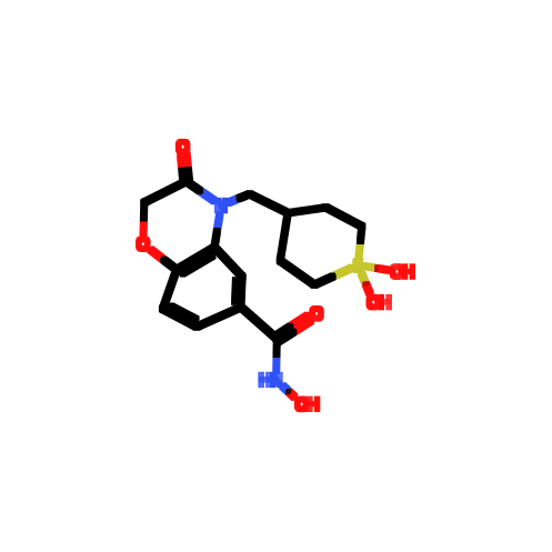 O=C(NO)c1ccc2c(c1)N(CC1CCS(O)(O)CC1)C(=O)CO2